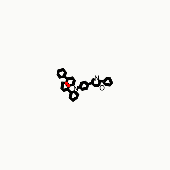 c1ccc(-c2ccc(N(c3ccc(-c4cnc5c(c4)oc4ccccc45)cc3)c3ccccc3-c3ccccc3)cc2)cc1